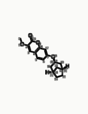 COc1cc2ccc(O[C@H]3C[C@@H]4CC[C@@H](C4)C3)cc2oc1=O